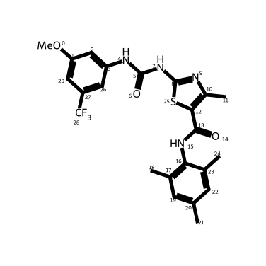 COc1cc(NC(=O)Nc2nc(C)c(C(=O)Nc3c(C)cc(C)cc3C)s2)cc(C(F)(F)F)c1